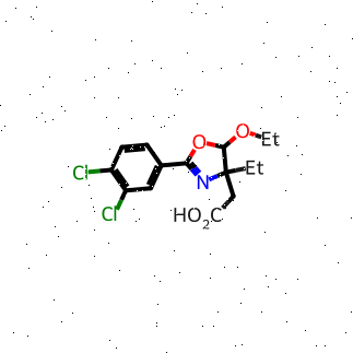 CCOC1OC(c2ccc(Cl)c(Cl)c2)=NC1(CC)CC(=O)O